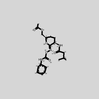 CC(=O)OC[C@H]1[CH][CH][C@@H](NC(=O)CC(C)C)C(=NOC(=O)Nc2ccccc2)O1